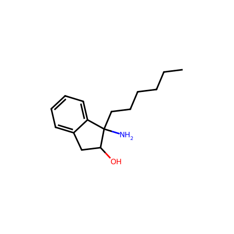 CCCCCCC1(N)c2ccccc2CC1O